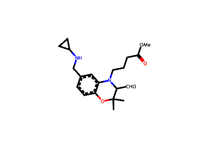 COC(=O)CCCN1c2cc(CNC3CC3)ccc2OC(C)(C)C1C=O